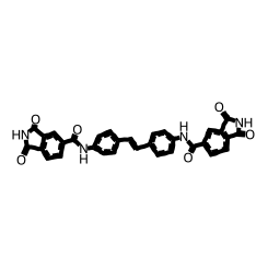 O=C(Nc1ccc(/C=C/c2ccc(NC(=O)c3ccc4c(c3)C(=O)NC4=O)cc2)cc1)c1ccc2c(c1)C(=O)NC2=O